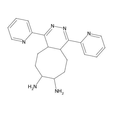 NC1CCC2C(c3ccccn3)=NN=C(c3ccccn3)C2CCC1N